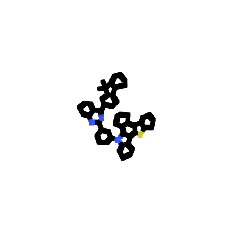 CC1(C)c2ccccc2-c2ccc(-c3nc(-c4cccc(-n5c6ccccc6c6c7sc8ccccc8c7c7ccccc7c65)c4)nc4ccccc34)cc21